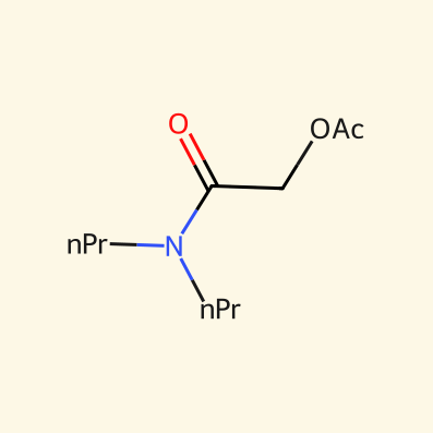 CCCN(CCC)C(=O)COC(C)=O